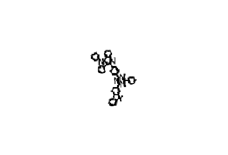 CC1(C)c2ccccc2-c2ccc(-c3nc(-c4ccccc4)nc(-c4ccc(-c5nc6ccccc6c6c5c5ccccc5n6-c5ccccc5)cc4)n3)cc21